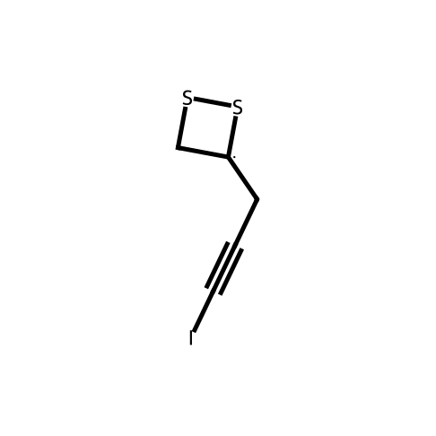 IC#CC[C]1CSS1